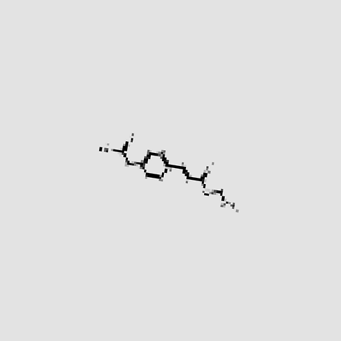 CCOC(=O)/C=C/c1ccc(CC(=O)O)cc1